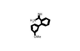 COc1cccc(-c2ccccc2C(=N)N)c1